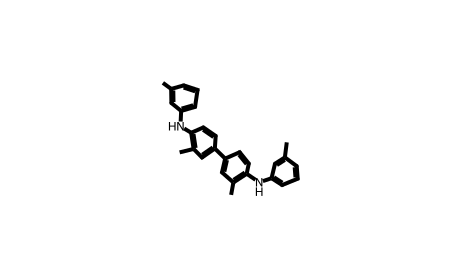 Cc1cccc(Nc2ccc(-c3ccc(Nc4cccc(C)c4)c(C)c3)cc2C)c1